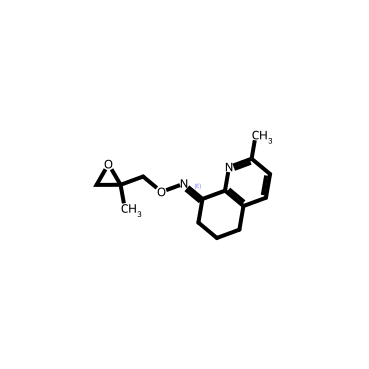 Cc1ccc2c(n1)/C(=N/OCC1(C)CO1)CCC2